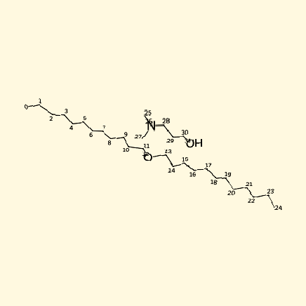 CCCCCCCCCCCCOCCCCCCCCCCCC.CN(C)CCCO